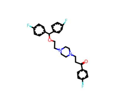 O=C(CCN1CCN(CCOC(c2ccc(F)cc2)c2ccc(F)cc2)CC1)c1ccc(F)cc1